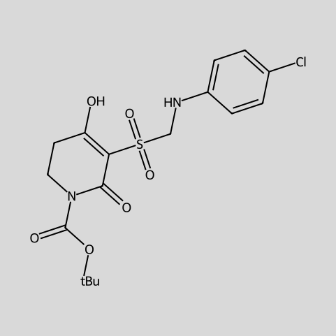 CC(C)(C)OC(=O)N1CCC(O)=C(S(=O)(=O)CNc2ccc(Cl)cc2)C1=O